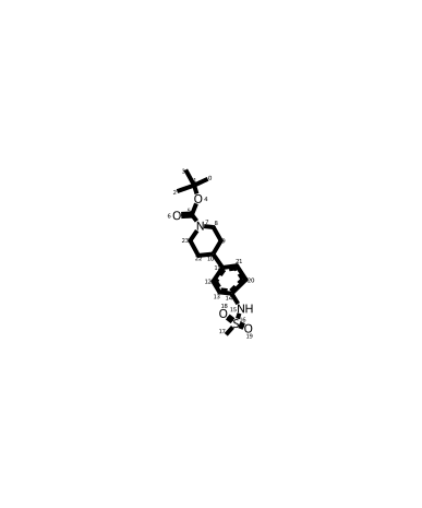 CC(C)(C)OC(=O)N1CCC(c2ccc(NS(C)(=O)=O)cc2)CC1